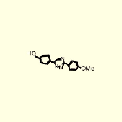 COc1ccc(-c2ncc(-c3ccc(CO)cc3)nn2)cc1